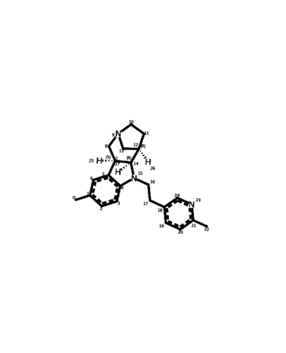 Cc1ccc2c(c1)[C@H]1CN3CC[C@H](C3)[C@H]1N2CCc1ccc(C)nc1